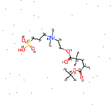 CC(CC(C)(C)C(=O)OCC[N+](C)(C)CCCS(=O)(=O)O)C(=O)OC(C)(C)C